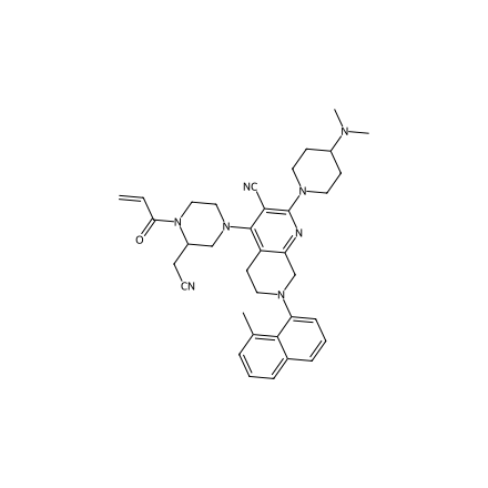 C=CC(=O)N1CCN(c2c(C#N)c(N3CCC(N(C)C)CC3)nc3c2CCN(c2cccc4cccc(C)c24)C3)CC1CC#N